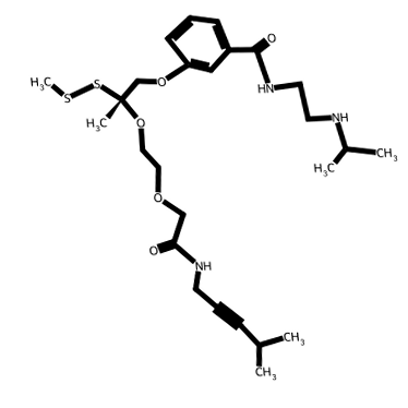 CSS[C@](C)(COc1cccc(C(=O)NCCNC(C)C)c1)OCCOCC(=O)NCC#CC(C)C